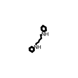 c1ccc(NCCCCCNc2ccccc2)cc1